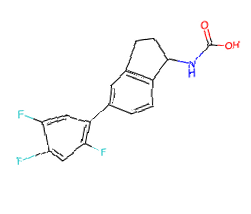 O=C(O)NC1CCc2cc(-c3cc(F)c(F)cc3F)ccc21